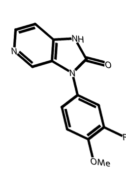 COc1ccc(-n2c(=O)[nH]c3ccncc32)cc1F